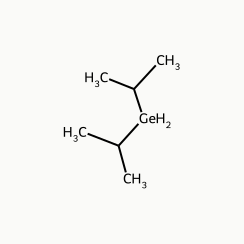 C[CH](C)[GeH2][CH](C)C